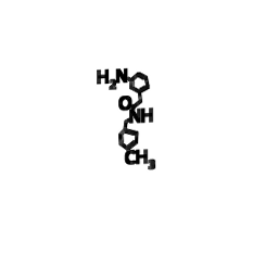 Cc1ccc(CNC(=O)Cc2cccc(N)c2)cc1